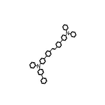 C(=C\c1ccc(-c2ccc(N(c3ccccc3)c3ccc(-c4ccccc4)cc3)cc2)cc1)/c1ccc(-c2ccc(N(c3ccccc3)c3ccccc3)cc2)cc1